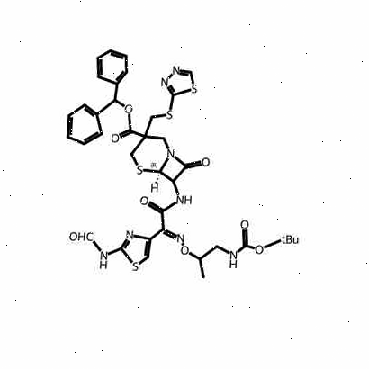 CC(CNC(=O)OC(C)(C)C)ON=C(C(=O)NC1C(=O)N2CC(CSc3nncs3)(C(=O)OC(c3ccccc3)c3ccccc3)CS[C@H]12)c1csc(NC=O)n1